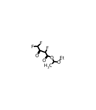 CCOC(C)OC(=O)C(F)C(=O)C(F)F